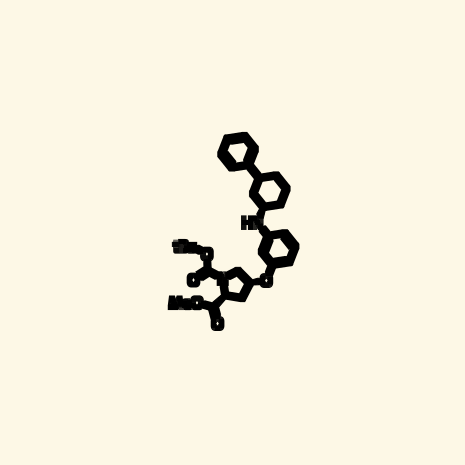 COC(=O)[C@@H]1C[C@H](Oc2cccc(N[C@@H]3CCCC(c4ccccc4)C3)c2)CN1C(=O)OC(C)(C)C